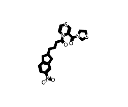 O=C(C1=CSC=CN1C(=O)CCCC1Cc2ccc([N+](=O)[O-])cc2C1)N1CCSC1